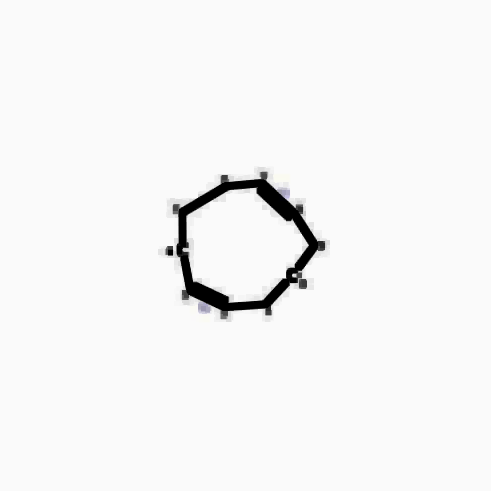 [CH]1C/C=C\CCC/C=C\C1